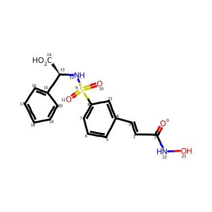 O=C(C=Cc1cccc(S(=O)(=O)N[C@H](C(=O)O)c2ccccc2)c1)NO